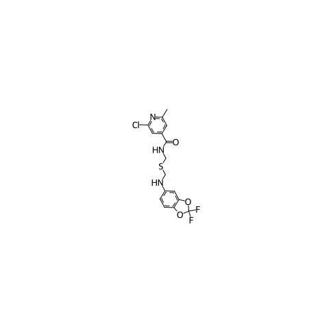 Cc1cc(C(=O)NCSCNc2ccc3c(c2)OC(F)(F)O3)cc(Cl)n1